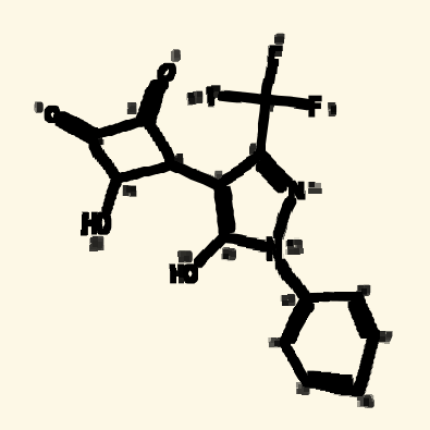 O=C1C(=O)C(c2c(C(F)(F)F)nn(-c3ccccc3)c2O)C1O